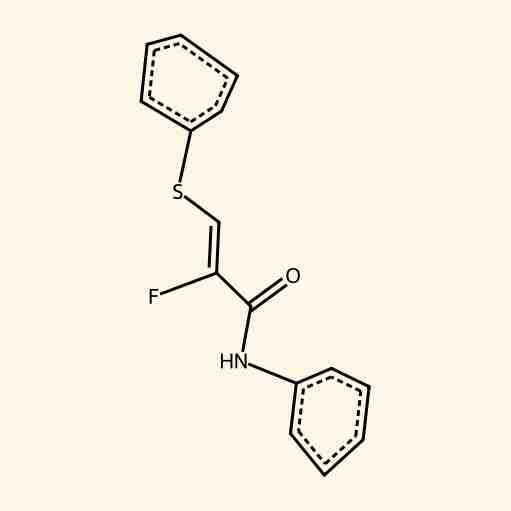 O=C(Nc1ccccc1)/C(F)=C/Sc1ccccc1